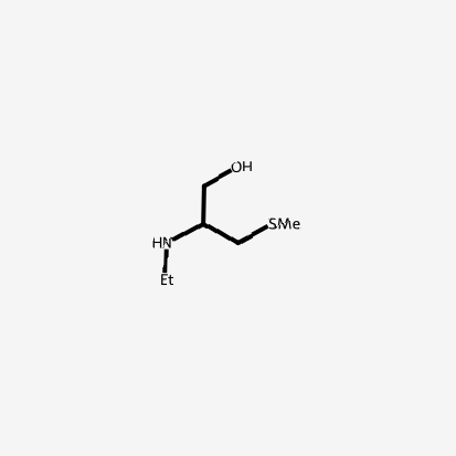 CCNC(CO)CSC